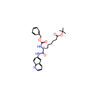 CC(C)(C)OC(=O)CCCCC[C@H](NC(=O)OCc1ccccc1)C(=O)Nc1ccc2ncccc2c1